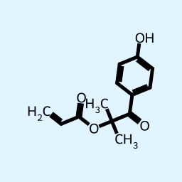 C=CC(=O)OC(C)(C)C(=O)c1ccc(O)cc1